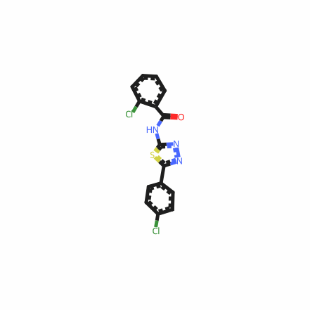 O=C(Nc1nnc(-c2ccc(Cl)cc2)s1)c1ccccc1Cl